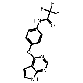 O=C(Nc1ccc(Oc2ncnc3[nH]ccc23)cc1)C(F)(F)F